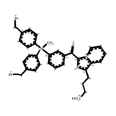 CC(C)Cc1ccc([N+](C)(c2ccc(CC(C)C)cc2)c2cccc(C(=O)c3nc(CCCC(=O)O)c4ccccn34)c2)cc1